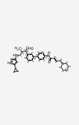 C[C@H](CNc1cc(C2CC2)[nH]n1)[C@@H](C=O)c1cccc(-c2ccc(NC(=O)/C=C/CN3CCOCC3)nc2)c1